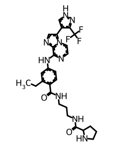 CCc1cc(Nc2nccn3c(-c4c[nH]nc4C(F)(F)F)cnc23)ccc1C(=O)NCCCNC(=O)C1CCCN1